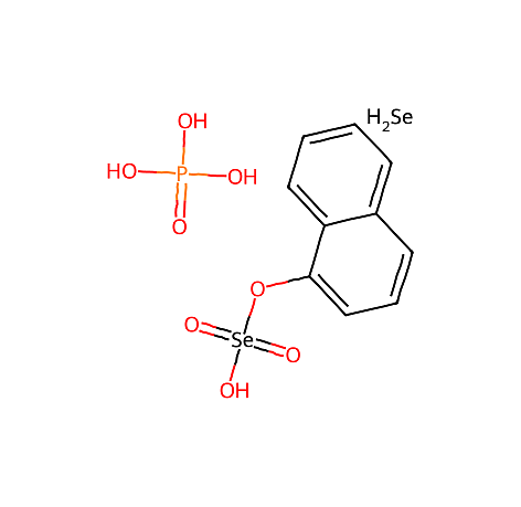 O=P(O)(O)O.O=[Se](=O)(O)Oc1cccc2ccccc12.[SeH2]